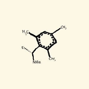 CC[C@@H](NC)c1c(C)cc(C)cc1C